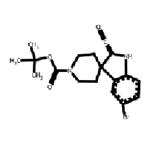 CC(C)(C)OC(=O)N1CCC2(CC1)C(=C=O)Nc1ccc(Br)cc12